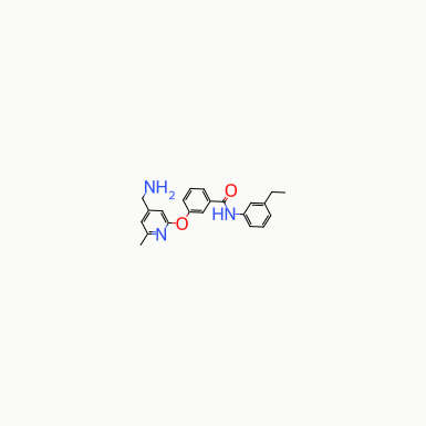 CCc1cccc(NC(=O)c2cccc(Oc3cc(CN)cc(C)n3)c2)c1